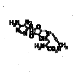 CC#CC[S@+](CC[C@H](N)C(=O)O)C[C@H]1O[C@@H](n2cnc3c(N)ncnc32)[C@H](O)[C@@H]1O